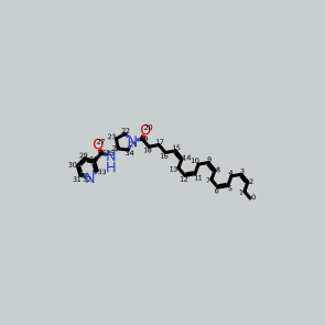 CC/C=C\C/C=C\C/C=C\C/C=C\C/C=C\CCCC(=O)N1CC[C@@H](NC(=O)c2cccnc2)C1